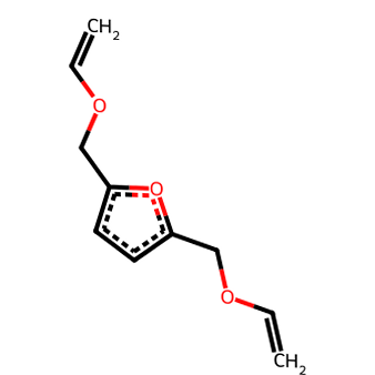 C=COCc1ccc(COC=C)o1